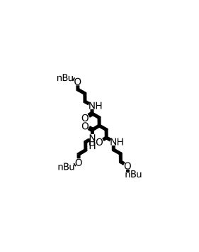 CCCCOCCCNC(=O)CC(CC(O)NCCCOCCCC)C(=O)NCCCOCCCC